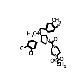 Cc1cc(CN(C)[C@@H]2CN(C(=O)N3CCN(S(C)(=O)=O)CC3)C[C@@H]2c2ccc(Cl)c(Cl)c2)ccc1F